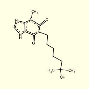 Cn1c(=O)n(CCCCCC(C)(C)O)c(=O)c2[nH]cnc21